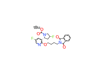 CC(C)(C)OC(=O)N1C[C@@H](F)C[C@@H]1c1cc(F)cnc1OCCCCN1C(=O)c2ccccc2C1=O